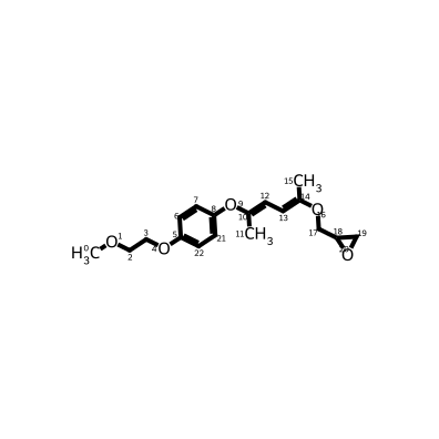 COCCOc1ccc(O/C(C)=C/C=C(\C)OCC2CO2)cc1